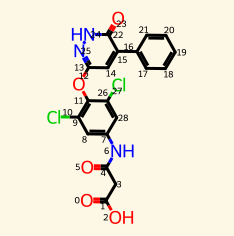 O=C(O)CC(=O)Nc1cc(Cl)c(Oc2cc(-c3ccccc3)c(=O)[nH]n2)c(Cl)c1